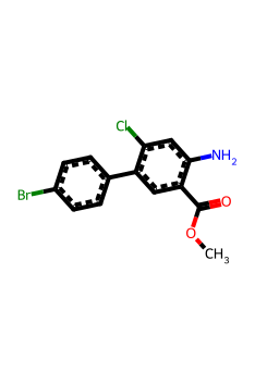 COC(=O)c1cc(-c2ccc(Br)cc2)c(Cl)cc1N